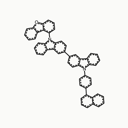 c1ccc2c(-c3ccc(-n4c5ccccc5c5cc(-c6ccc7c(c6)c6ccccc6n7-c6cccc7oc8ccccc8c67)ccc54)cc3)cccc2c1